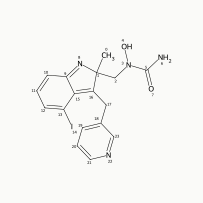 CC1(CN(O)C(N)=O)N=c2cccc(I)c2=C1Cc1cccnc1